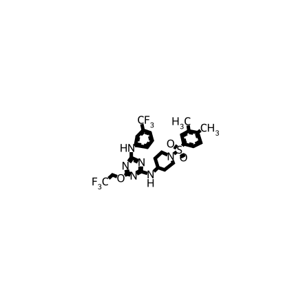 Cc1ccc(S(=O)(=O)N2CCC(Nc3nc(Nc4cccc(C(F)(F)F)c4)nc(OCC(F)(F)F)n3)CC2)cc1C